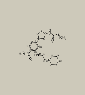 C=CC(=O)NC1CCN(c2ccc(C(N)=O)c(NCCN3CCOCC3)n2)C1